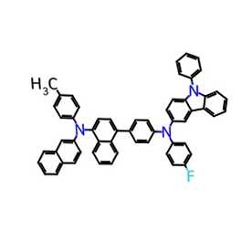 Cc1ccc(N(c2ccc3ccccc3c2)c2ccc(-c3ccc(N(c4ccc(F)cc4)c4ccc5c(c4)c4ccccc4n5-c4ccccc4)cc3)c3ccccc23)cc1